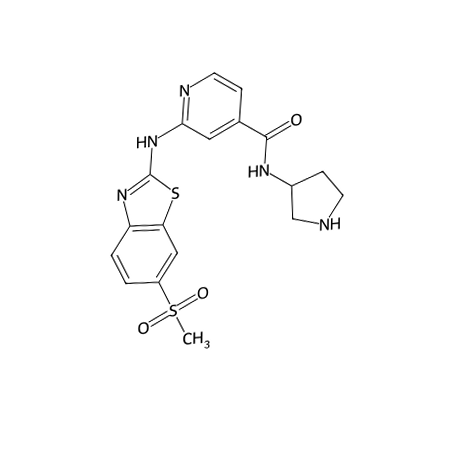 CS(=O)(=O)c1ccc2nc(Nc3cc(C(=O)NC4CCNC4)ccn3)sc2c1